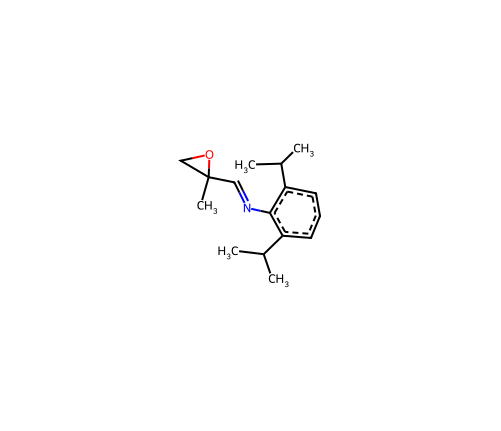 CC(C)c1cccc(C(C)C)c1N=CC1(C)CO1